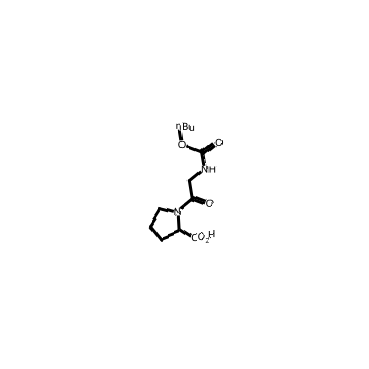 CCCCOC(=O)NCC(=O)N1CCCC1C(=O)O